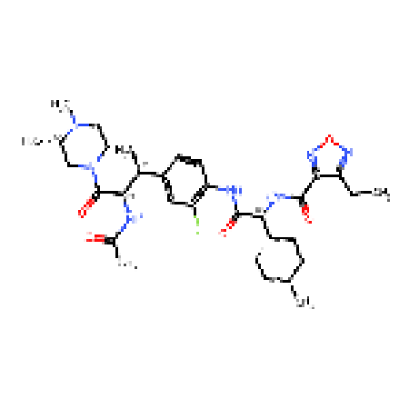 CCc1nonc1C(=O)N[C@H](C(=O)Nc1ccc([C@H](C)[C@@H](NC(C)=O)C(=O)N2CCN(C)[C@@H](C)C2)cc1F)[C@H]1CC[C@H](C)CC1